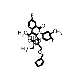 C=C(C)c1c(-n2nc(COCc3ccccc3)n(CC)c2=O)n(-c2ccc(F)c(C)c2)c(=O)c2cc(F)ccc12